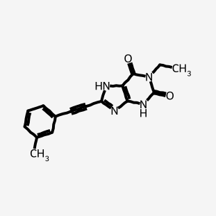 CCn1c(=O)[nH]c2nc(C#Cc3cccc(C)c3)[nH]c2c1=O